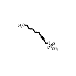 CCCCCCC#CCOS(C)(=O)=O